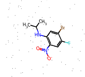 CC(C)Nc1cc(Br)c(F)cc1[N+](=O)[O-]